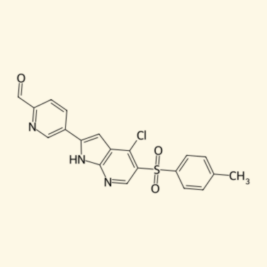 Cc1ccc(S(=O)(=O)c2cnc3[nH]c(-c4ccc(C=O)nc4)cc3c2Cl)cc1